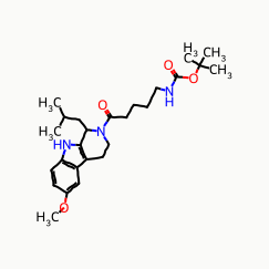 COc1ccc2[nH]c3c(c2c1)CCN(C(=O)CCCCNC(=O)OC(C)(C)C)C3CC(C)C